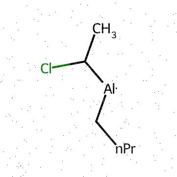 CCC[CH2][Al][CH](C)Cl